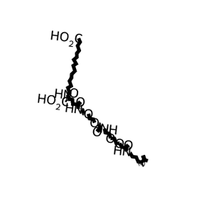 C=C(C)[C@@H](C)CCCCNC(=O)COCCOCCNC(=O)COCCOCCNC(=O)CC[C@H](NC(=O)CCCCCCCCCCCCCCC(=O)O)C(=O)O